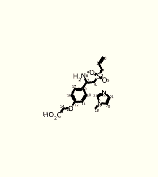 C=CCS(=O)(=O)CC(N)c1ccc(OCC(=O)O)cc1.Cn1ccnc1